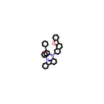 c1ccc(-c2cccc(N(c3ccc4ccc5c6ccccc6oc5c4c3)c3cccc4c5ccccc5n(-c5ccccc5)c34)c2)cc1